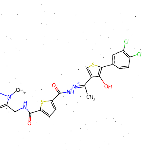 C/C(=N\NC(=O)c1ccc(C(=O)NCc2ccnn2C)s1)c1csc(-c2ccc(Cl)c(Cl)c2)c1O